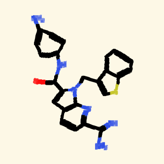 N=C(N)c1ccc2cc(C(=O)Nc3ccc(N)cc3)n(Cc3csc4ccccc34)c2n1